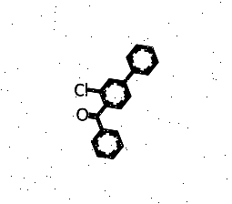 O=C(c1ccccc1)c1ccc(-c2ccccc2)cc1Cl